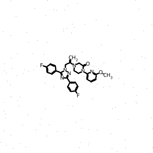 C=C(Cn1nc(-c2ccc(F)cc2)nc1-c1ccc(F)cc1)N1CCN(c2cccc(OC)n2)C(=O)C1